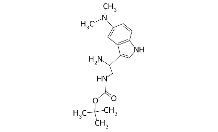 CN(C)c1ccc2[nH]cc(C(N)CNC(=O)OC(C)(C)C)c2c1